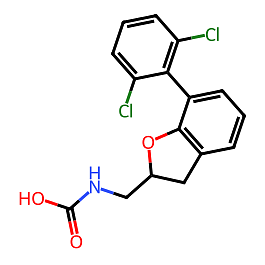 O=C(O)NCC1Cc2cccc(-c3c(Cl)cccc3Cl)c2O1